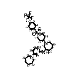 O=S(=O)(c1ccc(OC(F)(F)F)cc1)N1CCC(N2CCCCC(Nc3nccc(N4CCCCCC4)n3)C2)CC1